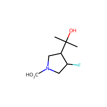 CC(C)(O)C1CN(C(=O)O)CC1F